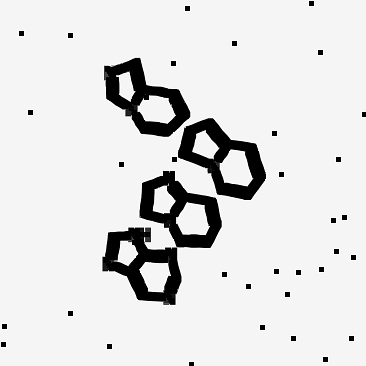 c1ccn2cccc2c1.c1ccn2ccnc2c1.c1ccn2cncc2c1.c1ncc2nc[nH]c2n1